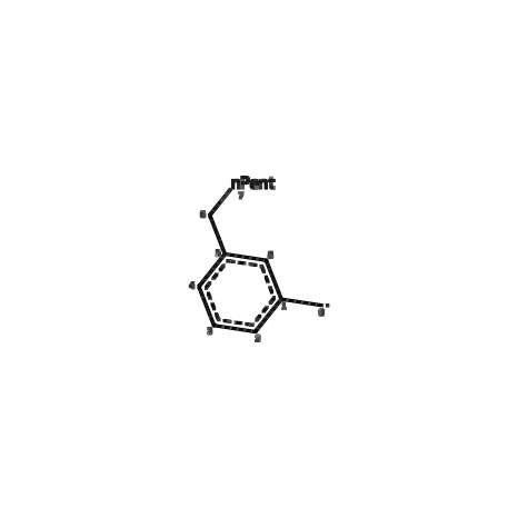 [CH2]c1cccc(CCCCCC)c1